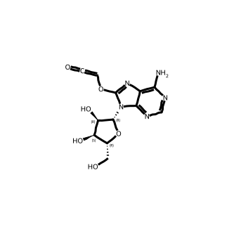 Nc1ncnc2c1nc(OC=C=O)n2[C@@H]1O[C@H](CO)[C@@H](O)[C@H]1O